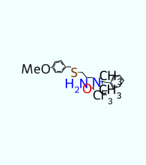 COc1ccc(CSC[C@H](N)CN(C(=O)C(F)(F)F)C(C)(C)c2ccccc2)cc1